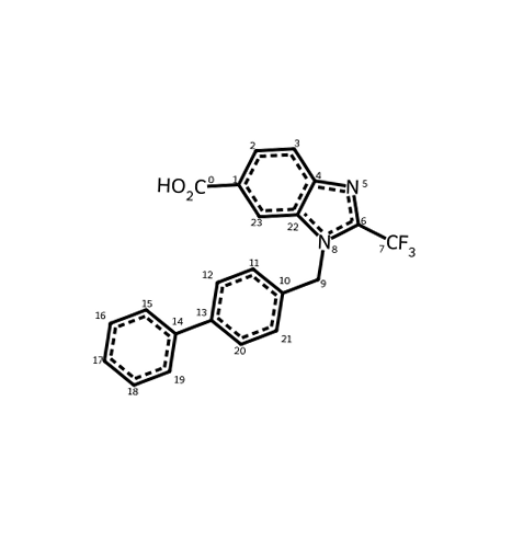 O=C(O)c1ccc2nc(C(F)(F)F)n(Cc3ccc(-c4ccccc4)cc3)c2c1